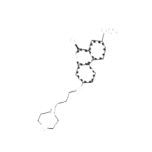 COc1ccc2c(c1)c(=O)oc1cc(OCCCN3CCOCC3)ccc12